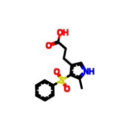 Cc1[nH]cc(CCC(=O)O)c1S(=O)(=O)c1ccccc1